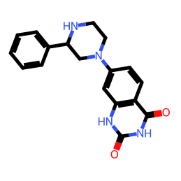 O=c1[nH]c(=O)c2ccc(N3CCNC(c4ccccc4)C3)cc2[nH]1